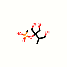 CC(CO)C(CO)(CO)OP(C)(=O)O